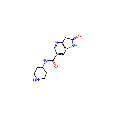 O=C1Cc2ncc(C(=O)NC3CCNCC3)cc2N1